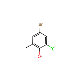 Cc1cc(Br)cc(Cl)c1[O]